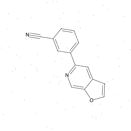 N#Cc1cccc(-c2cc3ccoc3cn2)c1